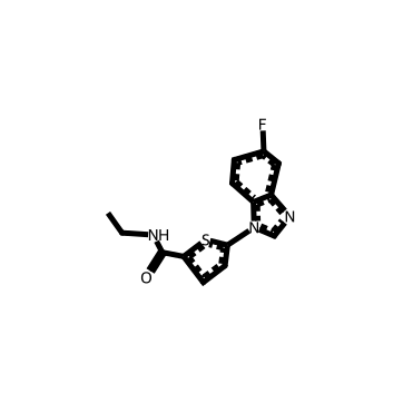 CCNC(=O)c1ccc(-n2cnc3cc(F)ccc32)s1